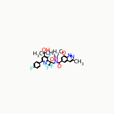 COc1cc(C(=O)NC[C@](O)(c2nc(-c3ccc(F)cc3)cc(C(C)(C)O)c2F)C(F)(F)F)cc2cc(C)nnc12